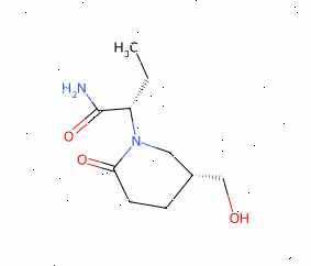 CC[C@@H](C(N)=O)N1C[C@H](CO)CCC1=O